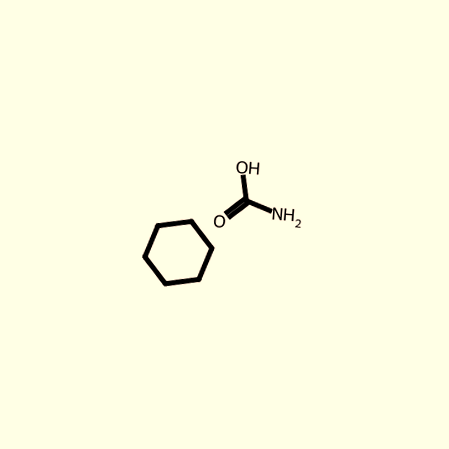 C1CCCCC1.NC(=O)O